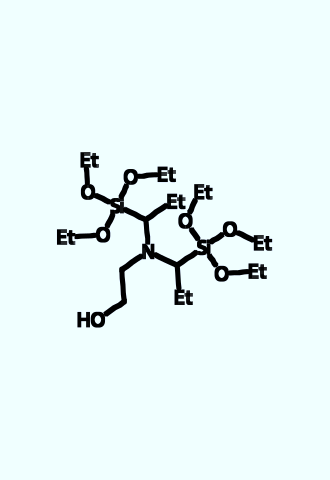 CCO[Si](OCC)(OCC)C(CC)N(CCO)C(CC)[Si](OCC)(OCC)OCC